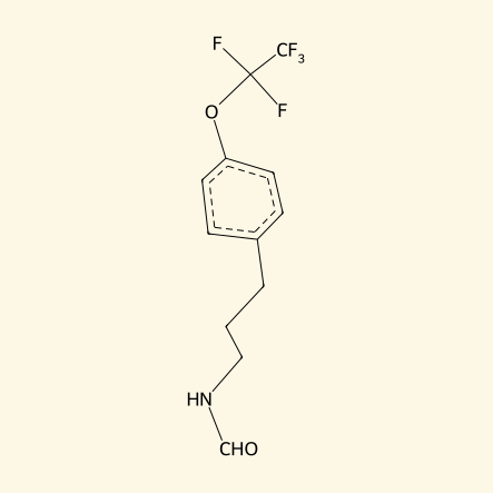 O=CNCCCc1ccc(OC(F)(F)C(F)(F)F)cc1